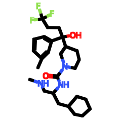 CNCC(CC1CCCCC1)NC(=O)N1CCCC(C(O)(CCC(F)(F)F)c2cccc(C)c2)C1